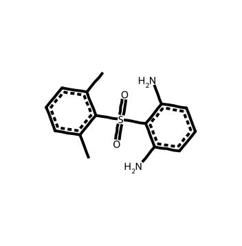 Cc1cccc(C)c1S(=O)(=O)c1c(N)cccc1N